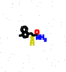 Cc1ccc(CC(S)C(N)=O)c2ccccc12